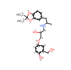 CC(Cc1ccc2c(c1)OC(C(=O)O)(C(=O)O)O2)NCC(O)COc1ccc(O)c(CO)c1